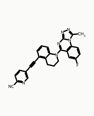 Cc1nnc2nc(N3CCCc4c(C#Cc5ccc(C#N)nc5)cccc43)c3cc(F)ccc3n12